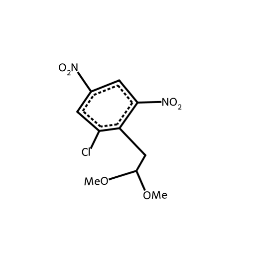 COC(Cc1c(Cl)cc([N+](=O)[O-])cc1[N+](=O)[O-])OC